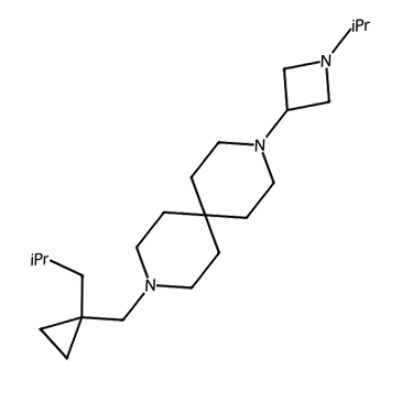 CC(C)CC1(CN2CCC3(CC2)CCN(C2CN(C(C)C)C2)CC3)CC1